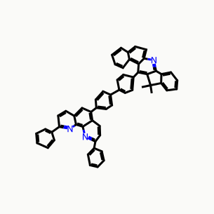 CC1(C)c2ccccc2-c2nc3ccc4ccccc4c3c(-c3ccc(-c4ccc(-c5cc6ccc(-c7ccccc7)nc6c6nc(-c7ccccc7)ccc56)cc4)cc3)c21